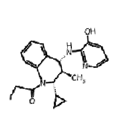 C[C@@H]1[C@@H](Nc2ncccc2O)c2ccccc2N(C(=O)CI)[C@H]1C1CC1